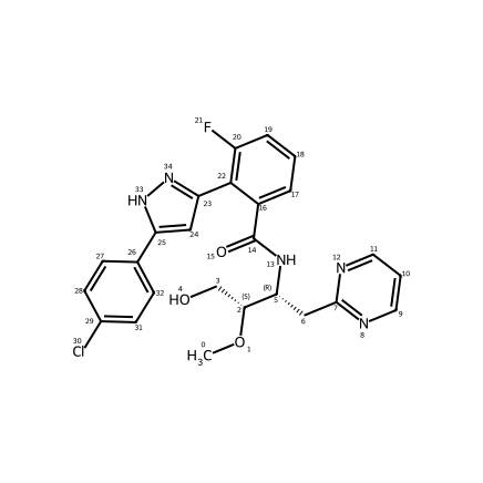 CO[C@H](CO)[C@@H](Cc1ncccn1)NC(=O)c1cccc(F)c1-c1cc(-c2ccc(Cl)cc2)[nH]n1